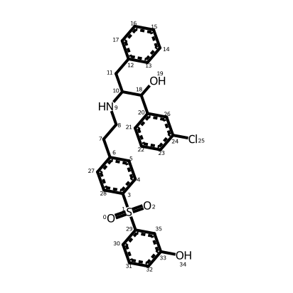 O=S(=O)(c1ccc(CCNC(Cc2ccccc2)C(O)c2cccc(Cl)c2)cc1)c1cccc(O)c1